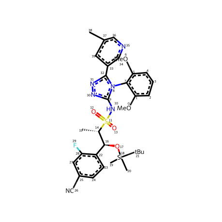 COc1cccc(OC)c1-n1c(NS(=O)(=O)[C@@H](C)[C@@H](O[Si](C)(C)C(C)(C)C)c2ccc(C#N)cc2F)nnc1-c1cncc(C)c1